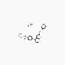 O=C(O)C(F)(F)F.O=S(=O)(c1ccc(-c2ccnc3[nH]c(CNc4cccnc4)cc23)cc1)N1CCCC1